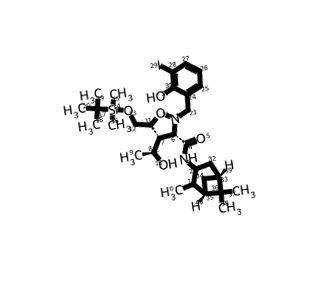 CC1C(NC(=O)[C@@H]2[C@H]([C@H](C)O)C(CO[Si](C)(C)C(C)(C)C)ON2Cc2cccc(I)c2O)C[C@H]2C[C@@H]1C2(C)C